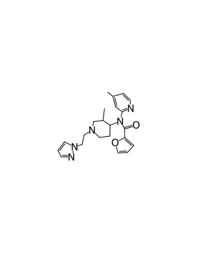 Cc1ccnc(N(C(=O)c2ccco2)C2CCN(CCn3cccn3)CC2C)c1